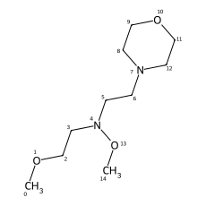 COCCN(CCN1CCOCC1)OC